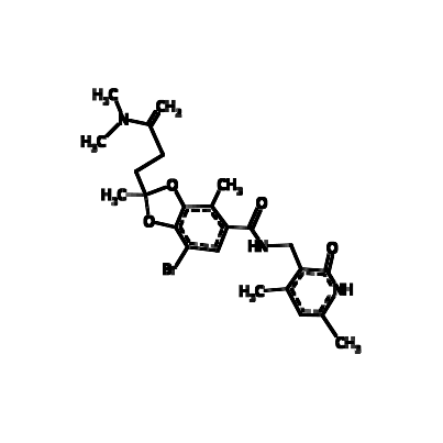 C=C(CCC1(C)Oc2c(Br)cc(C(=O)NCc3c(C)cc(C)[nH]c3=O)c(C)c2O1)N(C)C